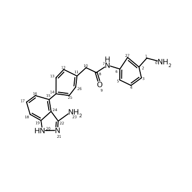 NCc1cccc(NC(=O)Cc2ccc(-c3cccc4[nH]nc(N)c34)cc2)c1